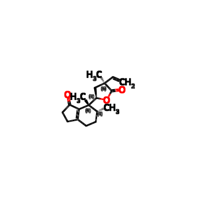 C=C[C@]1(C)C[C@H]([C@@]2(C)C3=C(CCC3=O)CC[C@H]2C)OC1=O